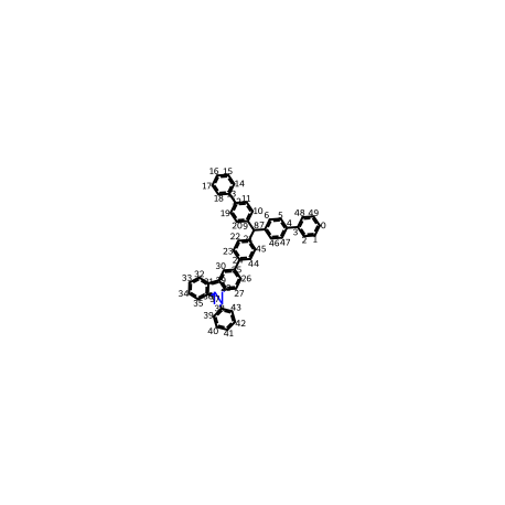 c1ccc(-c2ccc(C(c3ccc(-c4ccccc4)cc3)c3ccc(-c4ccc5c(c4)c4ccccc4n5-c4ccccc4)cc3)cc2)cc1